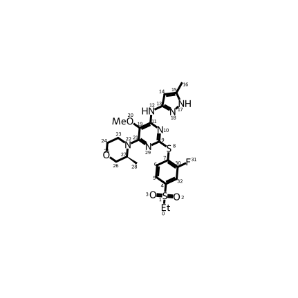 CCS(=O)(=O)c1ccc(Sc2nc(Nc3cc(C)[nH]n3)c(OC)c(N3CCOC[C@@H]3C)n2)c(F)c1